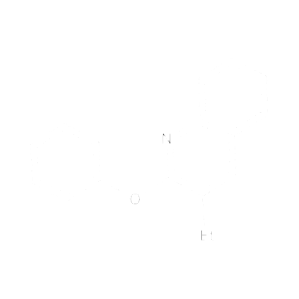 CCc1cc2ccccc2nc1Oc1ccccc1